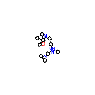 c1ccc(-c2nc(-c3ccc(-c4cccc(-c5nc6ccccc6c6c(-c7ccccc7)c7c(cc56)oc5ccccc57)c4)cc3)nc(-c3ccc(-n4c5ccccc5c5ccccc54)cc3)n2)cc1